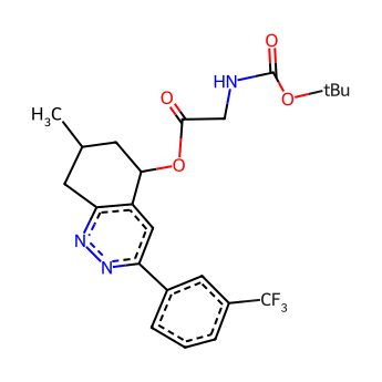 CC1Cc2nnc(-c3cccc(C(F)(F)F)c3)cc2C(OC(=O)CNC(=O)OC(C)(C)C)C1